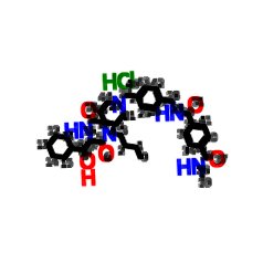 CCCCN1C(=O)[C@@H]([C@H](O)C2CCCCC2)NC(=O)C12CCN(Cc1ccc(CNC(=O)c3ccc(C(=O)NC)cc3)cc1)CC2.Cl